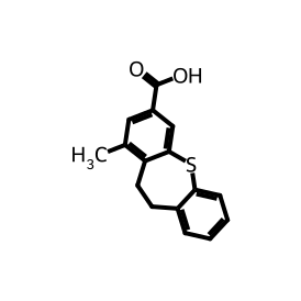 Cc1cc(C(=O)O)cc2c1CCc1ccccc1S2